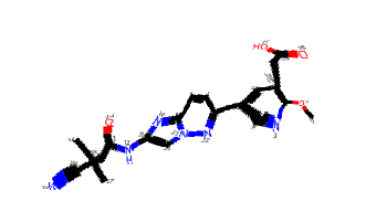 COc1ncc(-c2ccc3nc(NC(=O)C(C)(C)C#N)cn3n2)cc1C(=O)O